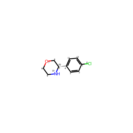 Clc1ccc([C@H]2COCCN2)cc1